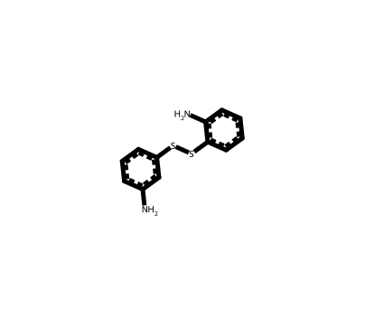 Nc1cccc(SSc2ccccc2N)c1